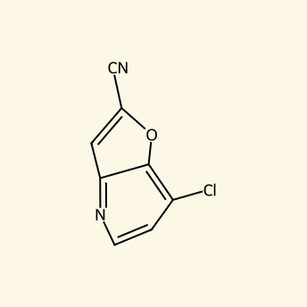 N#Cc1cc2nccc(Cl)c2o1